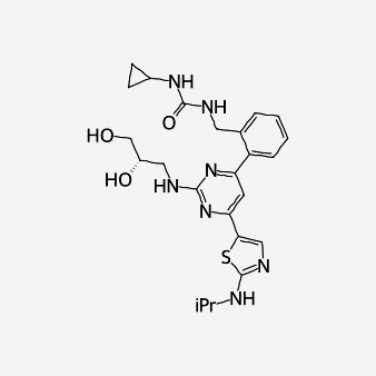 CC(C)Nc1ncc(-c2cc(-c3ccccc3CNC(=O)NC3CC3)nc(NC[C@H](O)CO)n2)s1